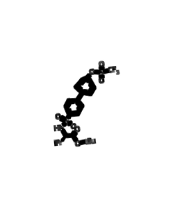 CC(C)[C@@H](NS(=O)(=O)c1ccc(-c2ccc(OS(=O)(=O)C(F)(F)F)cc2)cc1)C(=O)OC(C)(C)C